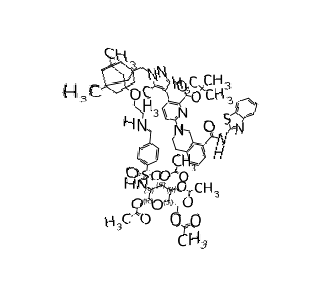 CC(=O)OC[C@@H]1O[C@H](OC(C)=O)[C@@H](NS(=O)(=O)c2ccc(CNCCOC34CC5(C)CC(C)(CC(Cn6ncc(-c7ccc(N8CCc9cccc(C(=O)Nc%10nc%11ccccc%11s%10)c9C8)nc7C(=O)OC(C)(C)C)c6C)(C5)C3)C4)cc2)[C@H](OC(C)=O)[C@H]1OC(C)=O